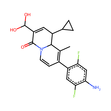 CC1=C(c2cc(F)c(N)cc2F)C=CN2C(=O)C(C(O)O)=CC(C3CC3)C12